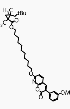 COc1cccc(-c2cc3ccc(OCCCCCCCCCCCOC(=O)C4(C)CC4(C)CC(C)(C)C)nc3oc2=O)c1